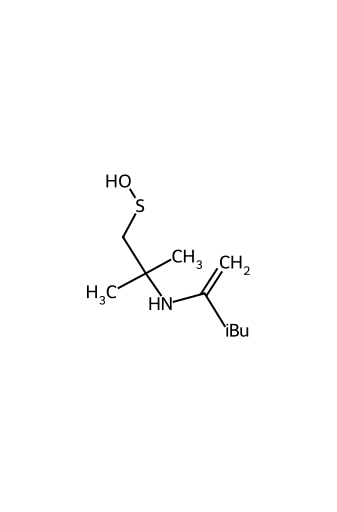 C=C(NC(C)(C)CSO)C(C)CC